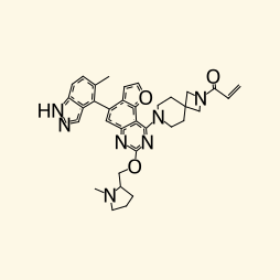 C=CC(=O)N1CC2(CCN(c3nc(OCC4CCCN4C)nc4cc(-c5c(C)ccc6[nH]ncc56)c5ccoc5c34)CC2)C1